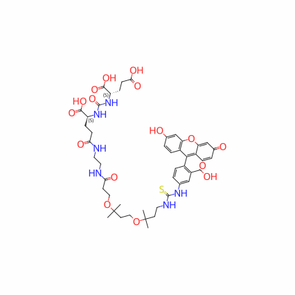 CC(C)(CCNC(=S)Nc1ccc(-c2c3ccc(=O)cc-3oc3cc(O)ccc23)c(C(=O)O)c1)OCCC(C)(C)OCCC(=O)NCCNC(=O)CC[C@H](NC(=O)N[C@@H](CCC(=O)O)C(=O)O)C(=O)O